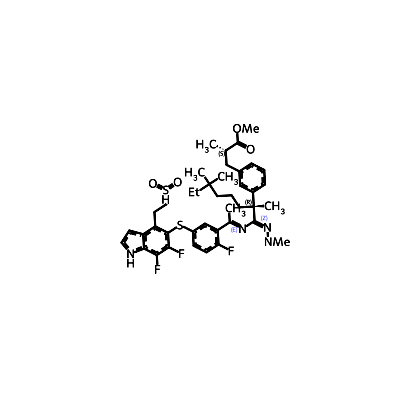 CCC(C)(C)CCC[C@@](C)(C(=N/NC)/N=C(\C)c1cc(Sc2c(F)c(F)c3[nH]ccc3c2CC[SH](=O)=O)ccc1F)c1cccc(C[C@H](C)C(=O)OC)c1